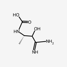 C[C@H](NC(=O)O)C(O)C(=N)N